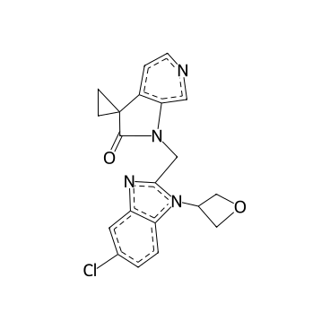 O=C1N(Cc2nc3cc(Cl)ccc3n2C2COC2)c2cnccc2C12CC2